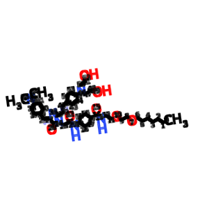 CCCCCCCOCCOCCNC(=O)[C@H]1CC[C@H](NC(=O)CN2C(=O)/C(=C/c3ccc(N(C)C)cc3)N=C2/C=C/c2ccc(N(CCO)CCO)cc2)CC1